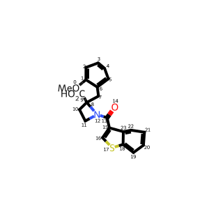 COc1ccccc1CC1(C(=O)O)CCN1C(=O)c1csc2ccccc12